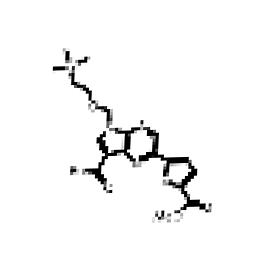 COC(=O)c1ccc(-c2cnc3c(n2)c(C(=O)C(C)(C)C)cn3COCC[Si](C)(C)C)s1